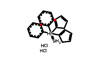 Cl.Cl.[SiH2]=[Hf]([C]1=CC=CC1)([C]1=CC=CC1)([c]1ccccc1)[c]1ccccc1